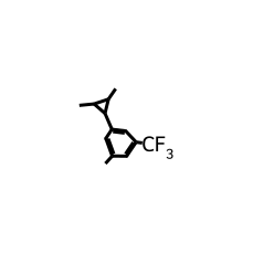 Cc1cc(C2C(C)C2C)cc(C(F)(F)F)c1